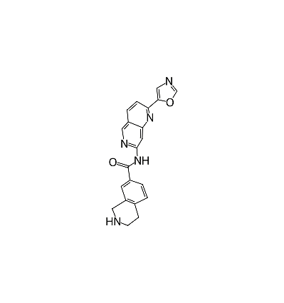 O=C(Nc1cc2nc(-c3cnco3)ccc2cn1)c1ccc2c(c1)CNCC2